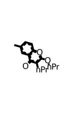 CCCOc1oc2ccc(C)cc2c(=O)c1CCC